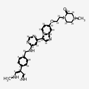 CN/C=C(\C=N)c1ccc(CNc2cc(-c3cnc4cc(OCCN5CCN(C)CC5=O)ccn34)ncn2)cc1